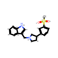 CCS(=O)(=O)c1cccc(C2CCN(Cc3c[nH]c4ccccc34)C2)c1